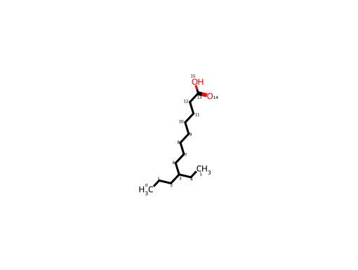 CCCC(CC)CCCCCCCC(=O)O